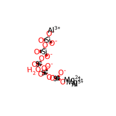 O.O=[Si]([O-])[O-].O=[Si]([O-])[O-].O=[Si]([O-])[O-].O=[Si]([O-])[O-].O=[Si]([O-])[O-].[Al+3].[Al+3].[Mg+2].[Mg+2]